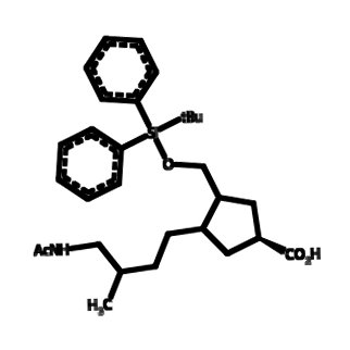 CC(=O)NCC(C)CCC1C[C@H](C(=O)O)CC1CO[Si](c1ccccc1)(c1ccccc1)C(C)(C)C